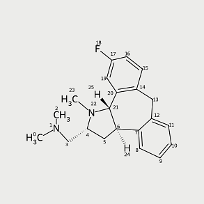 CN(C)C[C@H]1C[C@@H]2c3ccccc3Cc3ccc(F)cc3[C@H]2N1C